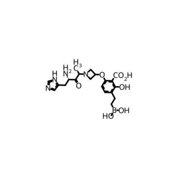 CC(C(=O)[C@@H](N)Cc1cnc[nH]1)N1CC(Oc2ccc(CCB(O)O)c(O)c2C(=O)O)C1